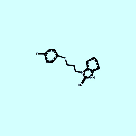 N=c1[nH]c2ccccc2n1CCCOc1ccc(F)cc1